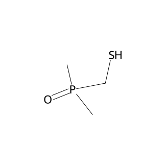 CP(C)(=O)CS